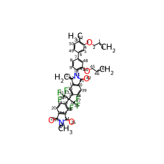 C=CCOc1cc(-c2ccc(N3C(=C)c4cc(C(c5ccc6c(c5)C(=O)N(C)C6=O)(C(F)(F)F)C(F)(F)F)ccc4C3=O)c(OCC=C)c2)ccc1C